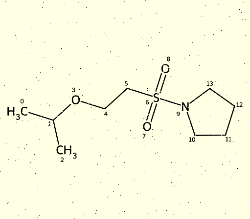 CC(C)OCCS(=O)(=O)N1CCCC1